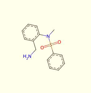 CN(c1ccccc1CN)S(=O)(=O)c1ccccc1